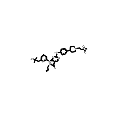 C=CCn1c(=O)c2cnc(Nc3ccc(C4CCN(CCS(C)(=O)=O)CC4)cc3)nc2n1-c1cccc(CC(C)(C)O)n1